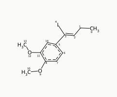 CCC=C(I)c1ccc(OC)c(OC)c1